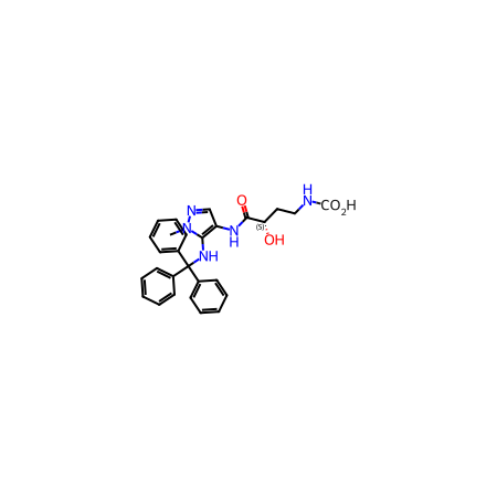 Cn1ncc(NC(=O)[C@@H](O)CCNC(=O)O)c1NC(c1ccccc1)(c1ccccc1)c1ccccc1